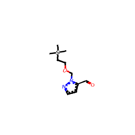 C[Si](C)(C)CCOCn1nccc1C=O